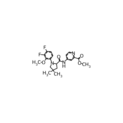 COC(=O)c1cc(NC(=O)C2CC(C)(C)CN2c2ccc(F)c(F)c2OC)ccn1